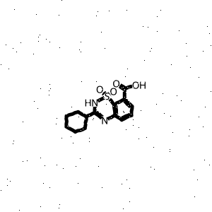 O=C(O)c1cccc2c1S(=O)(=O)NC(C1CCCCC1)=N2